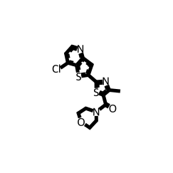 Cc1nc(-c2cc3nccc(Cl)c3s2)sc1C(=O)N1CCOCC1